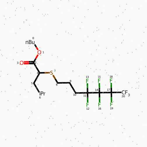 CCCCOC(=O)C(CC(C)C)SCCCC(F)(F)C(F)(F)C(F)(F)C(F)(F)F